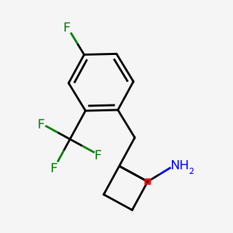 NCC1(Cc2ccc(F)cc2C(F)(F)F)CCC1